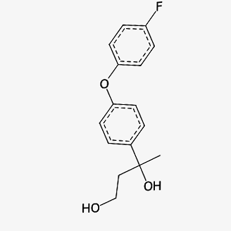 CC(O)(CCO)c1ccc(Oc2ccc(F)cc2)cc1